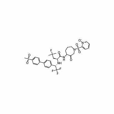 CC(C)(F)C[C@H](N[C@@H](c1ccc(-c2ccc(S(C)(=O)=O)cc2)cc1)C(F)(F)F)C(=O)NC1CCCN(S(=O)(=O)c2cccc[n+]2[O-])CC1=O